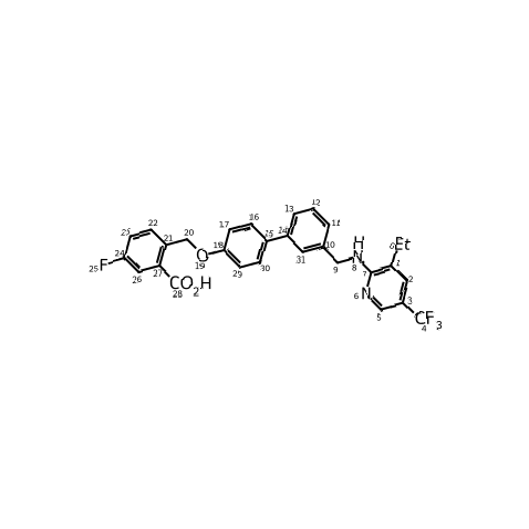 CCc1cc(C(F)(F)F)cnc1NCc1cccc(-c2ccc(OCc3ccc(F)cc3C(=O)O)cc2)c1